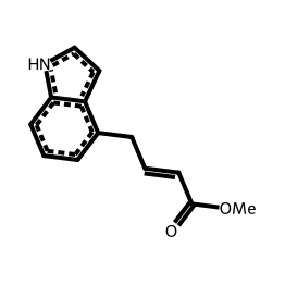 COC(=O)/C=C/Cc1cccc2[nH]ccc12